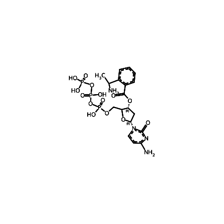 CC(N)c1ccccc1C(=O)O[C@@H]1C[C@H](n2ccc(N)nc2=O)OC1COP(=O)(O)OP(=O)(O)OP(=O)(O)O